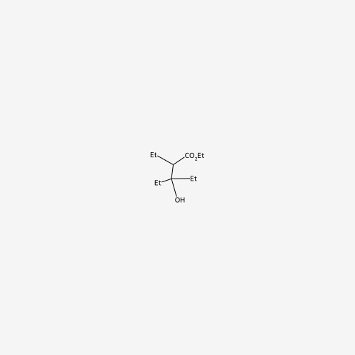 CCOC(=O)C(CC)C(O)(CC)CC